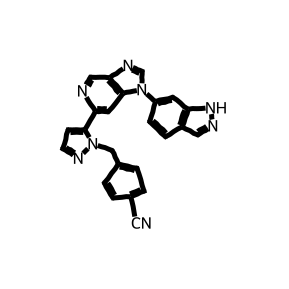 N#Cc1ccc(Cn2nccc2-c2cc3c(cn2)ncn3-c2ccc3cn[nH]c3c2)cc1